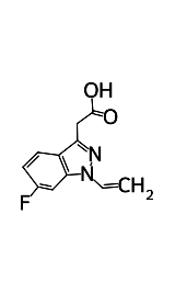 C=Cn1nc(CC(=O)O)c2ccc(F)cc21